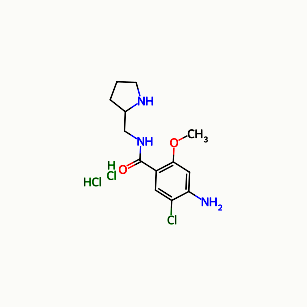 COc1cc(N)c(Cl)cc1C(=O)NCC1CCCN1.Cl.Cl